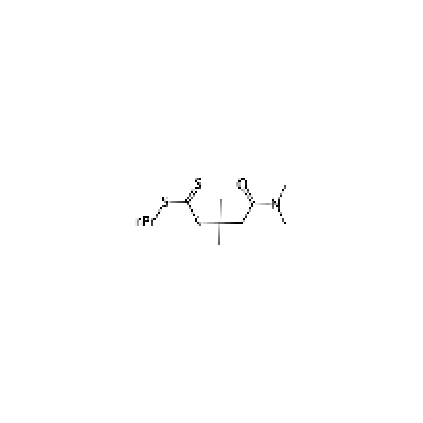 CCCSC(=S)SC(C)(C)CC(=O)N(C)C